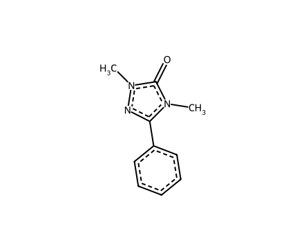 Cn1nc(-c2ccccc2)n(C)c1=O